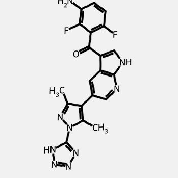 Cc1nn(-c2nnn[nH]2)c(C)c1-c1cnc2[nH]cc(C(=O)c3c(F)ccc(N)c3F)c2c1